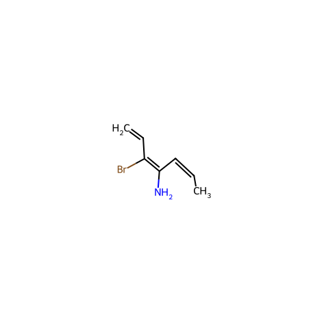 C=C/C(Br)=C(N)\C=C/C